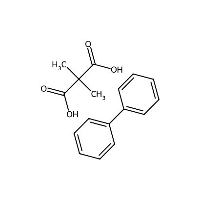 CC(C)(C(=O)O)C(=O)O.c1ccc(-c2ccccc2)cc1